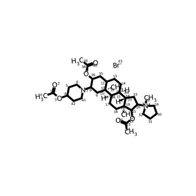 CC(=O)OC1CCN(C2C[C@@]3(C)C(CC[C@@H]4[C@H]3CC[C@]3(C)C(OC(C)=O)C([N+]5(C)CCCC5)C[C@@H]43)CC2OC(C)=O)CC1.[Br-]